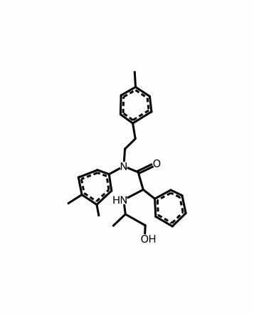 Cc1ccc(CCN(C(=O)C(NC(C)CO)c2ccccc2)c2ccc(C)c(C)c2)cc1